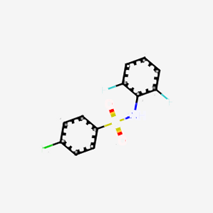 O=S(=O)(Nc1c(F)cccc1F)c1ccc(Cl)cc1